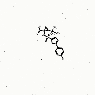 CC(C)(C)[C@@H]1CC1(NS(=O)(=O)c1ccc(-c2ccc(Cl)cc2)s1)C(=O)O